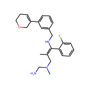 C/C(CN(C)CN)=C(\NCc1cccc(C2=CCCOC2)c1)c1ccccc1F